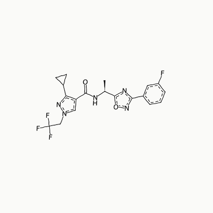 C[C@H](NC(=O)c1cn(CC(F)(F)F)nc1C1CC1)c1nc(-c2cccc(F)c2)no1